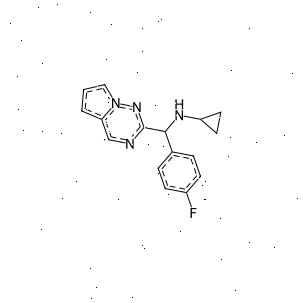 Fc1ccc(C(NC2CC2)c2n[c]c3cccn3n2)cc1